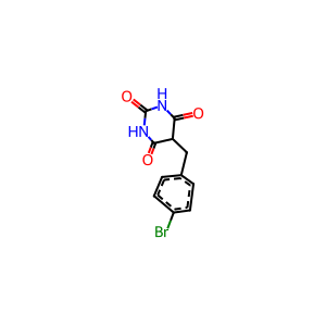 O=C1NC(=O)C(Cc2ccc(Br)cc2)C(=O)N1